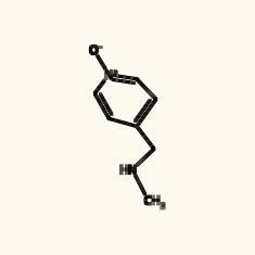 CNCc1cc[n+]([O-])cc1